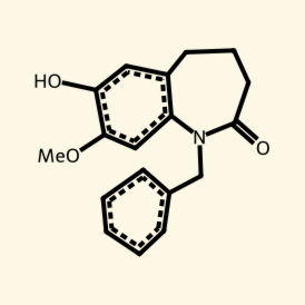 COc1cc2c(cc1O)CCCC(=O)N2Cc1ccccc1